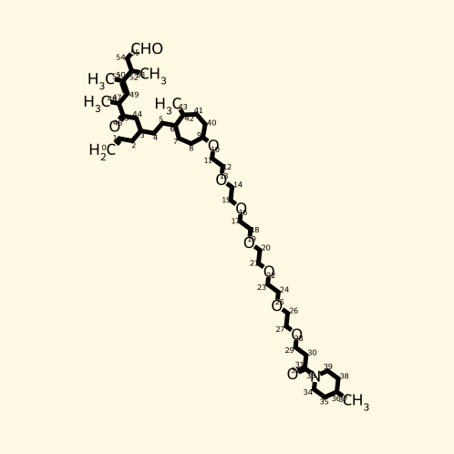 C=CCC(CCC1CCC(OCCOCCOCCOCCOCCOCCOCCC(=O)N2CCC(C)CC2)CCC1C)CC(=O)C(C)/C=C(\C)C(C)CC=O